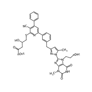 CCCCCCCCCCCCn1c(-n2nc(Cc3cccc(-c4cc(-c5ccccc5)c(C#N)c(SCC(O)CC(=O)CCCCCCCC)n4)c3)cc2C)nc2c1c(=O)[nH]c(=O)n2C